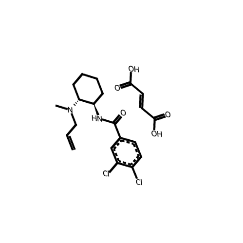 C=CCN(C)[C@@H]1CCCC[C@H]1NC(=O)c1ccc(Cl)c(Cl)c1.O=C(O)/C=C/C(=O)O